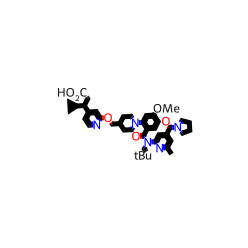 COc1ccc(C(=O)N(CC(C)(C)C)c2cc(C(=O)N3CCCC3)cc(C)n2)c(N2CCC(COc3cc(C(CC(=O)O)C4CC4)ccn3)CC2)c1